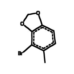 Cc1ccc2c(c1Br)OCO2